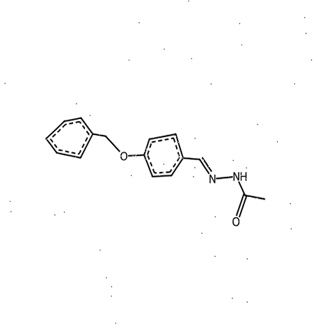 CC(=O)NN=Cc1ccc(OCc2ccccc2)cc1